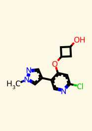 Cn1cc(-c2cnc(Cl)cc2OC2CC(O)C2)cn1